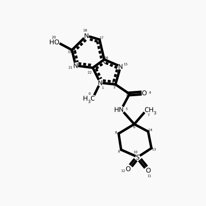 Cn1c(C(=O)NC2(C)CCS(=O)(=O)CC2)nc2cnc(O)nc21